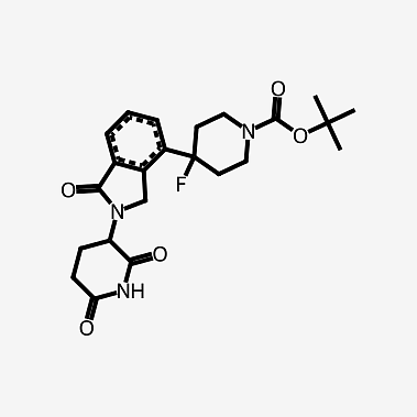 CC(C)(C)OC(=O)N1CCC(F)(c2cccc3c2CN(C2CCC(=O)NC2=O)C3=O)CC1